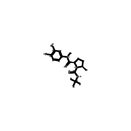 C[C@@H]1CC[C@H](C(=O)N(C)c2ccc(F)c(Cl)c2)N1C(=O)OC(C)(C)C